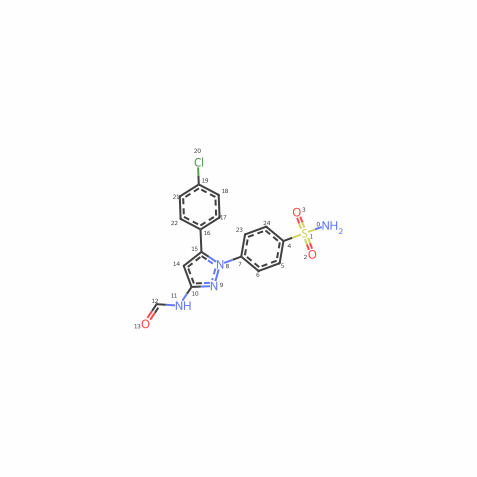 NS(=O)(=O)c1ccc(-n2nc(NC=O)cc2-c2ccc(Cl)cc2)cc1